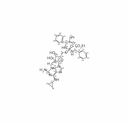 CCCC(=O)[C@@H](NP(=O)(N[C@H](C(=O)OCC)c1ccccc1)OC[C@H]1O[C@@H](n2cnc3c(NC4CC4)nc(N)nc32)[C@@](C)(O)C1O)c1ccccc1